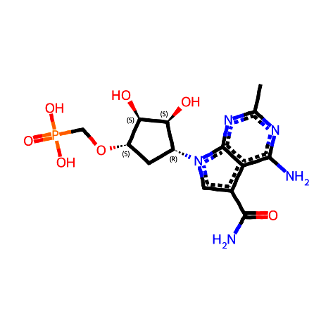 Cc1nc(N)c2c(C(N)=O)cn([C@@H]3C[C@H](OCP(=O)(O)O)[C@@H](O)[C@H]3O)c2n1